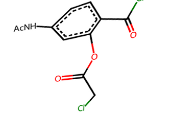 CC(=O)Nc1ccc(C(=O)Cl)c(OC(=O)CCl)c1